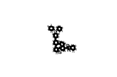 c1ccc(N(c2ccccc2)c2ccc(-c3ccc(-c4cccc5sc6cc(-c7nc8ccccc8o7)c7ccccc7c6c45)cc3)cc2)cc1